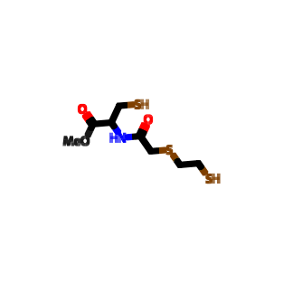 COC(=O)C(CS)NC(=O)CSCCS